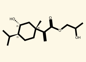 C=C(C(=O)OCC(C)O)[C@]1(C)CC[C@@H](C(C)C)[C@H](O)C1